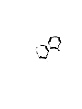 C1=CNOC=C1.Clc1ccccc1.N